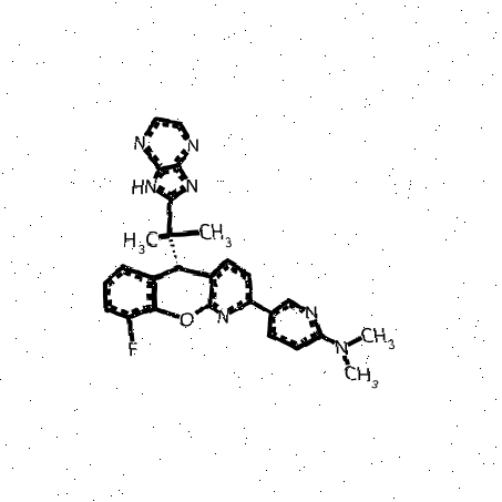 CN(C)c1ccc(-c2ccc3c(n2)Oc2c(F)cccc2[C@@H]3C(C)(C)c2nc3nccnc3[nH]2)cn1